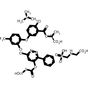 CCCCCCCCSC(=O)Oc1cc(Cl)nnc1-c1ccccc1.C[C@H](OC(=O)c1cc(Oc2ccc(C(F)(F)F)cc2Cl)ccc1Cl)C(=O)O.C[S+](C)C.O=C(O)CNCP(=O)([O-])O